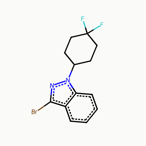 FC1(F)CCC(n2nc(Br)c3ccccc32)CC1